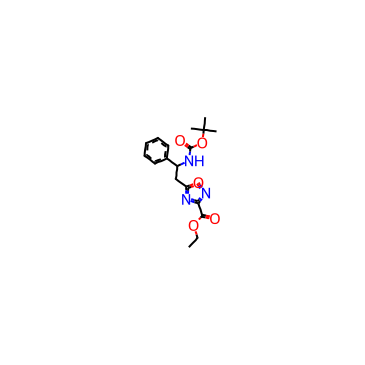 CCOC(=O)c1noc(CC(NC(=O)OC(C)(C)C)c2ccccc2)n1